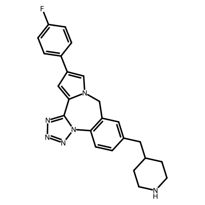 Fc1ccc(-c2cc3n(c2)Cc2cc(CC4CCNCC4)ccc2-n2nnnc2-3)cc1